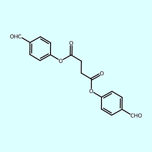 O=Cc1ccc(OC(=O)CCC(=O)Oc2ccc(C=O)cc2)cc1